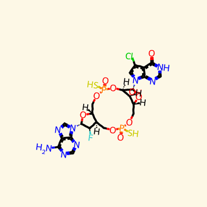 Nc1ncnc2c1ncn2[C@@H]1O[C@@H]2COP(=O)(S)O[C@@H]3[C@H](O)[C@@H](COP(=O)(S)OC[C@H]2[C@H]1F)O[C@H]3n1cc(Cl)c2c(=O)[nH]cnc21